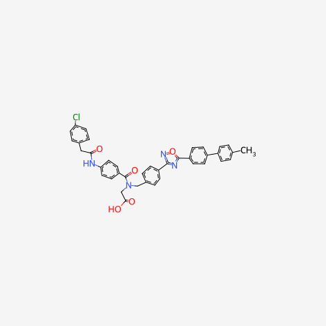 Cc1ccc(-c2ccc(-c3nc(-c4ccc(CN(CC(=O)O)C(=O)c5ccc(NC(=O)Cc6ccc(Cl)cc6)cc5)cc4)no3)cc2)cc1